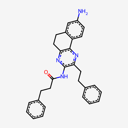 Nc1ccc2c(c1)CCc1nc(NC(=O)CCc3ccccc3)c(CCc3ccccc3)nc1-2